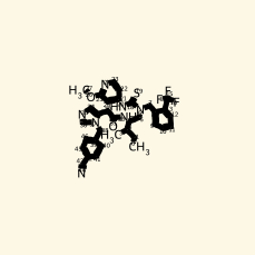 CCC(C)C(CN(Cc1ccccc1C(F)(F)F)C(=S)Nc1ccnc(OC)c1)NC(=O)Cc1cncn1Cc1ccc(C#N)cc1